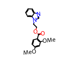 COc1ccc(C(=O)OCCn2cnc3ccccc32)c(OC)c1